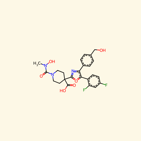 CN(O)C(=O)N1CCC(C(=O)O)(c2nc(-c3ccc(CO)cc3)c(-c3ccc(F)cc3F)o2)CC1